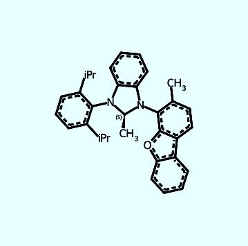 Cc1ccc2c(oc3ccccc32)c1N1c2ccccc2N(c2c(C(C)C)cccc2C(C)C)[C@@H]1C